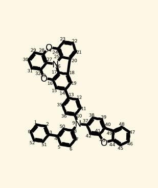 c1ccc(-c2cccc(N(c3ccc(-c4cc5c6c(c4)c4cccc7c4n6-c4c(cccc4O5)O7)cc3)c3ccc4c(c3)oc3ccccc34)c2)cc1